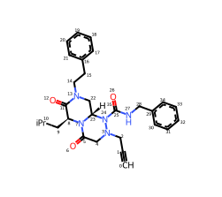 C#CCN1CC(=O)N2[C@@H](CC(C)C)C(=O)N(CCc3ccccc3)C[C@@H]2N1C(=O)NCc1ccccc1